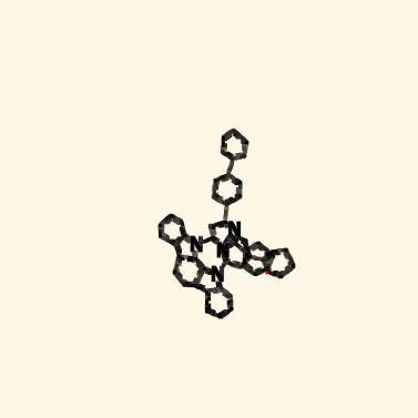 c1ccc(-c2ccc(-c3cc(-n4c5ccccc5c5ccc6c7ccccc7n(-c7cccc(-c8ccccc8)c7)c6c54)nc(-c4ccccc4)n3)cc2)cc1